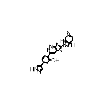 CN1CC[C@@H]2CN(c3nc4nnc(-c5ccc(-c6cn[nH]c6)cc5O)cc4s3)[C@@H]2C1